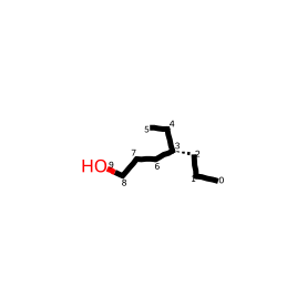 CCC[C@@H](CC)CCCO